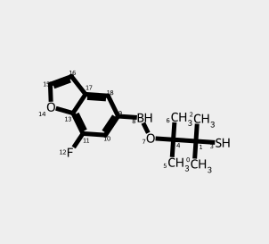 CC(C)(S)C(C)(C)OBc1cc(F)c2occc2c1